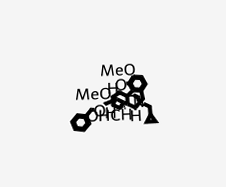 COc1ccc2c3c1O[C@H]1[C@@]4(OC)CC[C@@]5([C@@H](C=O)[C@@H]4COCc4ccccc4)[C@@H](C2)N(CC2CC2)CC[C@]315